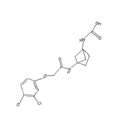 O=C(O)NC12CCC(NC(=O)COc3ccc(Cl)c(Cl)c3)(C1)C2